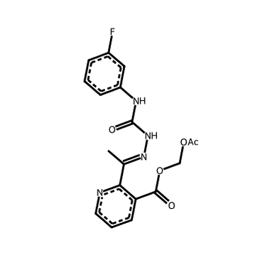 CC(=O)OCOC(=O)c1cccnc1C(C)=NNC(=O)Nc1cccc(F)c1